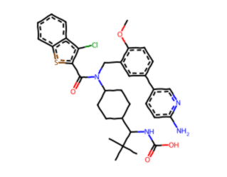 COc1ccc(-c2ccc(N)nc2)cc1CN(C(=O)c1sc2ccccc2c1Cl)C1CCC(C(NC(=O)O)C(C)(C)C)CC1